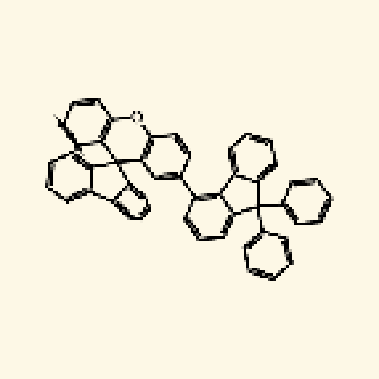 c1ccc(C2(c3ccccc3)c3ccccc3-c3c(-c4ccc5c(c4)C4(c6ccccc6-c6ccccc64)c4c(ccc6ccccc46)O5)cccc32)cc1